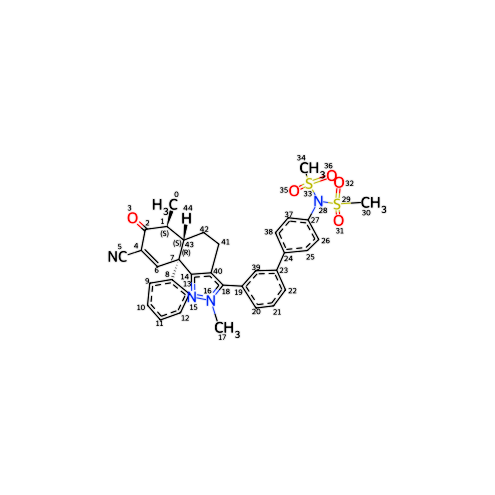 C[C@@H]1C(=O)C(C#N)=C[C@]2(c3ccccc3)c3nn(C)c(-c4cccc(-c5ccc(N(S(C)(=O)=O)S(C)(=O)=O)cc5)c4)c3CC[C@@H]12